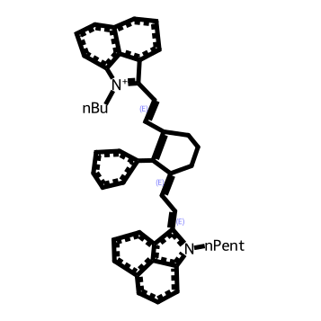 CCCCCn1/c(=C/C=C2\CCCC(/C=C/C3=[N+](CCCC)c4cccc5cccc3c45)=C2c2ccccc2)c2cccc3cccc1c32